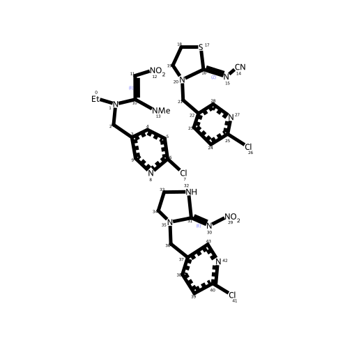 CCN(Cc1ccc(Cl)nc1)/C(=C/[N+](=O)[O-])NC.N#C/N=C1\SCCN1Cc1ccc(Cl)nc1.O=[N+]([O-])/N=C1\NCCN1Cc1ccc(Cl)nc1